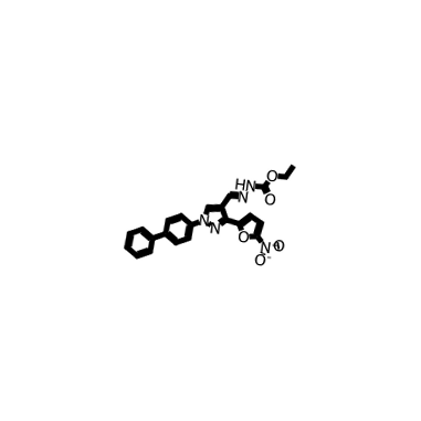 CCOC(=O)N/N=C/c1cn(-c2ccc(-c3ccccc3)cc2)nc1-c1ccc([N+](=O)[O-])o1